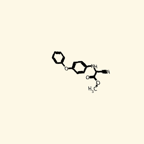 COC(=O)C(C#N)Nc1ccc(Oc2ccccc2)cc1